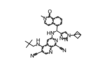 Cn1ccc2c([C@H](Nc3cc4c(NCC(C)(C)C)c(C#N)cnc4c(C#N)n3)c3cn(C45CC(C4)C5)nn3)cccc2c1=O